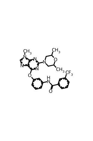 CC1CN(c2nc(Oc3cccc(NC(=O)c4cccc(C(F)(F)F)c4)c3)c3ncn(C)c3n2)CC(C)O1